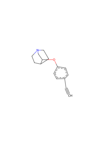 C#Cc1ccc(OC2CN3CCC2CC3)cc1